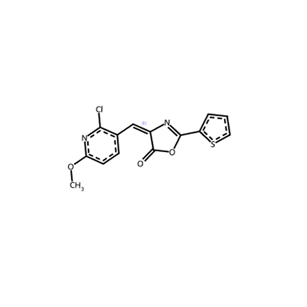 COc1ccc(/C=C2/N=C(c3cccs3)OC2=O)c(Cl)n1